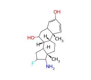 C[C@]12C=CC(O)=CC1CC(O)[C@@H]1[C@H]2CC[C@]2(C)C(N)C(F)C[C@@H]12